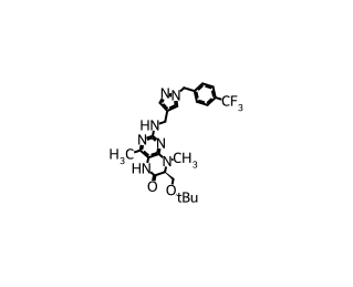 Cc1nc(NCc2cnn(Cc3ccc(C(F)(F)F)cc3)c2)nc2c1NC(=O)[C@H](COC(C)(C)C)N2C